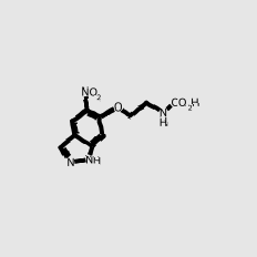 O=C(O)NCCOc1cc2[nH]ncc2cc1[N+](=O)[O-]